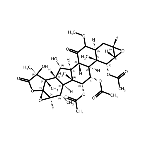 COC1C(=O)[C@H]2[C@@H]3[C@@H](O)[C@@H]4[C@H]([C@H](C)[C@H]5O[C@]56OC(=O)[C@@](C)(O)[C@]46C)[C@@]3(C)[C@@H](OC(C)=O)[C@@H](OC(C)=O)[C@@H]2[C@]2(C)[C@@H]1C[C@@H]1O[C@@H]1[C@@H]2OC(C)=O